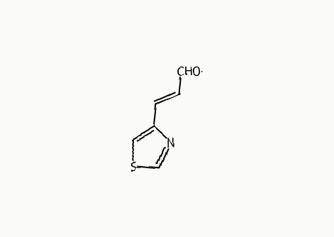 O=[C]C=Cc1cscn1